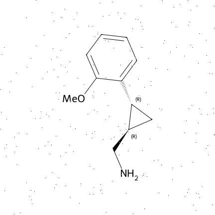 COc1ccccc1[C@@H]1C[C@H]1CN